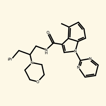 Cc1cccc2c1c(C(=O)NCC(CC(C)C)N1CCOCC1)cn2-c1ncccn1